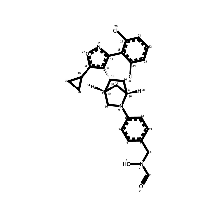 O=CN(O)Cc1ccc(N2C[C@H]3C[C@@H]2C[C@H]3c2c(-c3c(Cl)cccc3Cl)noc2C2CC2)cc1